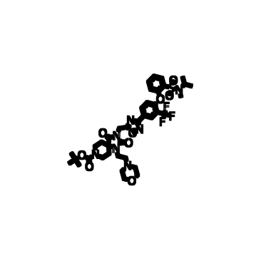 CC(C)N(C)S(=O)(=O)c1ccccc1Oc1ccc(-c2noc(CN3C(=O)N(CCN4CCOCC4)C4(CCN(C(=O)OC(C)(C)C)CC4)C3=O)n2)cc1C(F)(F)F